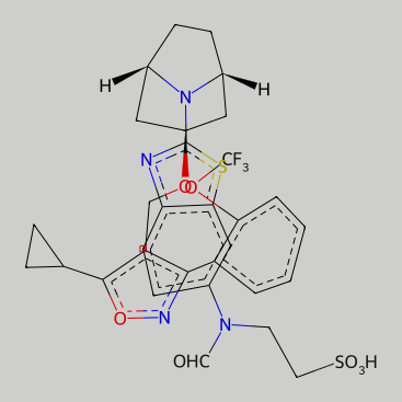 O=CN(CCS(=O)(=O)O)c1ccc2nc(N3[C@@H]4CC[C@H]3C[C@H](OCc3c(-c5ccccc5OC(F)(F)F)noc3C3CC3)C4)sc2c1